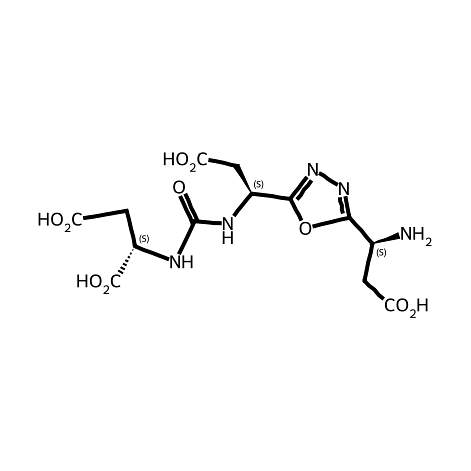 N[C@@H](CC(=O)O)c1nnc([C@H](CC(=O)O)NC(=O)N[C@@H](CC(=O)O)C(=O)O)o1